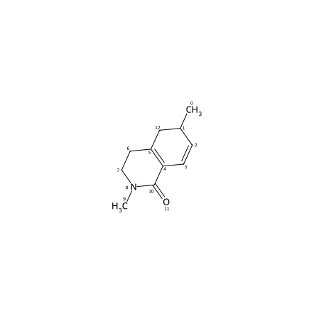 CC1C=CC2=C(CCN(C)C2=O)C1